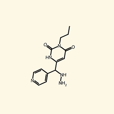 CCCn1c(=O)cc(C(NN)c2ccncc2)[nH]c1=O